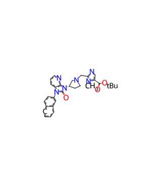 Cn1c(C(=O)OC(C)(C)C)cnc1CN1CC[C@H](n2c(=O)n(-c3ccc4ccccc4c3)c3cccnc32)C1